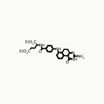 CCOC(=O)CC[C@H](NC(=O)c1ccc(Nc2cccc3c2CCc2nc(N)[nH]c(=O)c2-3)cc1)C(=O)OCC